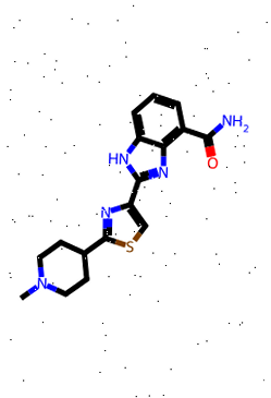 CN1CCC(c2nc(-c3nc4c(C(N)=O)cccc4[nH]3)cs2)CC1